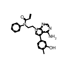 C=CC(=O)N(CCn1cc(-c2ccc(C)c(O)c2)c2c(N)ncnc21)c1ccccc1